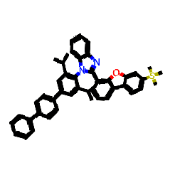 CC(C)c1cc(-c2ccc(-c3ccccc3)cc2)cc(C(C)C)c1-n1c(-c2cccc3c2oc2cc(S(C)(C)C)ccc23)nc2ccccc21